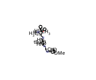 C/C=C\C[C@@H](C/C=C\NC(=O)[C@@H](NC(=O)/C=C/C#C/C=C\[C@H](C)[C@@H]1CC=C(OC)C(=O)O1)C(C)(C)C)CC(C)(C)[Si](O)(c1ccccc1)c1ccccc1